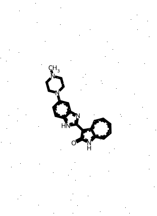 CN1CCN(c2ccc3[nH]c(-c4c5cccccc-5[nH]c4=O)nc3c2)CC1